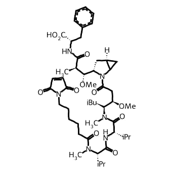 CC[C@H](C)[C@@H]([C@@H](CC(=O)N1C2C[C@@H]2C[C@H]1[C@H](OC)[C@@H](C)C(=O)N[C@@H](Cc1ccccc1)C(=O)O)OC)N(C)C(=O)[C@@H](NC(=O)[C@H](C(C)C)N(C)C(=O)CCCCCN1C(=O)C=CC1=O)C(C)C